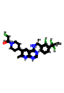 Cc1nc2ncnc(N[C@H](C)c3cccc(C(F)(F)C(C)(C)C)c3F)c2cc1C1CCN(C(=O)CF)CC1